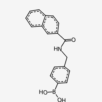 O=C(NCc1ccc(B(O)O)cc1)c1ccc2ccccc2c1